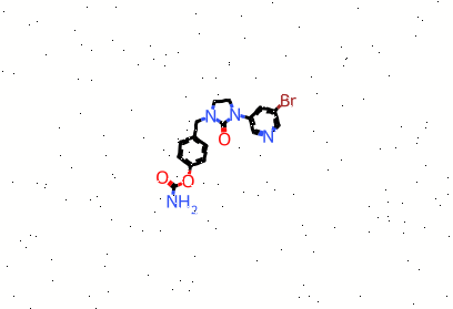 NC(=O)Oc1ccc(CN2CCN(c3cncc(Br)c3)C2=O)cc1